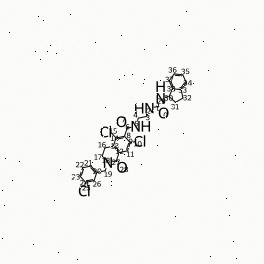 O=C(NCCNC(=O)c1c(Cl)cc2c(c1Cl)CCN(Cc1cccc(Cl)c1)C2=O)N[C@@H]1CCc2ccccc21